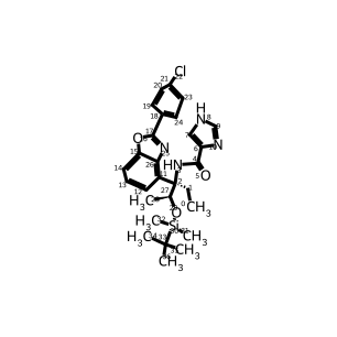 CC[C@@](NC(=O)c1c[nH]cn1)(c1cccc2oc(-c3ccc(Cl)cc3)nc12)[C@H](C)O[Si](C)(C)C(C)(C)C